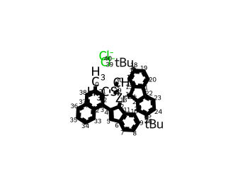 Cc1cc(C2=Cc3ccccc3[CH]2[Zr+2]([CH]2c3cc(C(C)(C)C)ccc3-c3ccc(C(C)(C)C)cc32)=[Si](C)C)c2ccccc2c1.[Cl-].[Cl-]